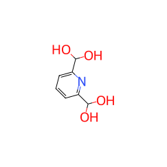 OC(O)c1cccc(C(O)O)n1